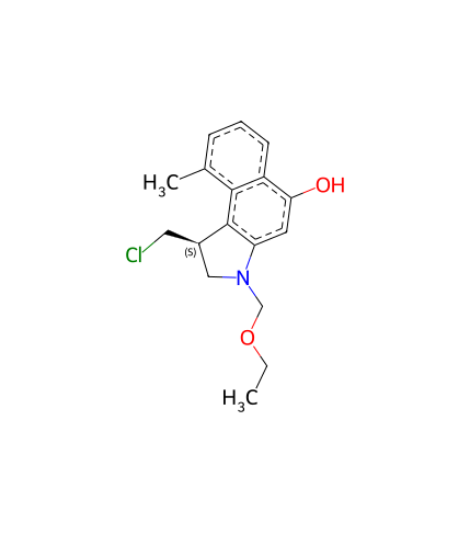 CCOCN1C[C@@H](CCl)c2c1cc(O)c1cccc(C)c21